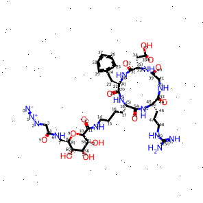 [N-]=[N+]=NCC(=O)NC[C@H]1OC(C(=O)NCCCC[C@@H]2NC(=O)[C@@H](Cc3ccccc3)NC(=O)[C@H](CC(=O)O)NC(=O)CNC(=O)[C@H](CCCNC(=N)N)NC2=O)[C@H](O)C(O)[C@H]1O